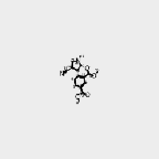 COC(=O)c1ccc([C@H]2CN(C)C[C@@H]2C#N)c(C(=O)OC)c1